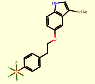 CC(=O)Nc1c[nH]c2ccc(OCCc3ccc(S(F)(F)(F)(F)F)cc3)cc12